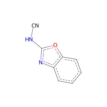 N#CNc1nc2ccccc2o1